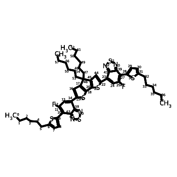 CCCCCCc1ccc(-c2c(F)cc(-c3cc4c(s3)-c3sc(-c5cc(F)c(-c6ccc(CCCCCC)s6)c6nsnc56)cc3C4(CCCCCC)CCCCCC)c3nsnc23)s1